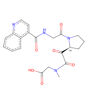 CN(CC(=O)O)C(=O)C(=O)[C@@H]1CCCN1C(=O)CNC(=O)c1ccnc2ccccc12